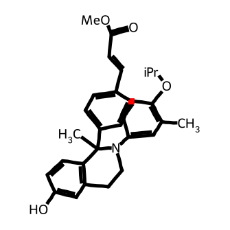 COC(=O)C=Cc1ccc(C2(C)c3ccc(O)cc3CCN2c2ccc(OC(C)C)c(C)c2)cc1